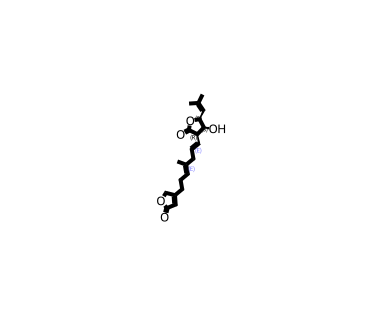 CC(C)=C[C@@H]1OC(=O)[C@H](/C=C/C/C(C)=C/CCC2=CC(=O)OC2)[C@@H]1O